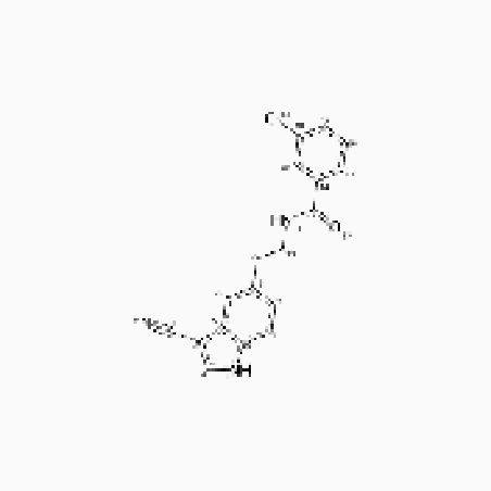 N#Cc1c[nH]c2ccc(CCNC(=O)c3cccc(Cl)c3)cc12